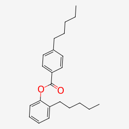 CCCCCc1ccc(C(=O)Oc2ccccc2CCCCC)cc1